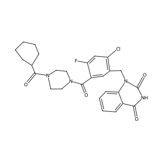 O=C(c1cc(Cn2c(=O)[nH]c(=O)c3ccccc32)c(Cl)cc1F)N1CCN(C(=O)C2CCCCC2)CC1